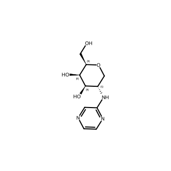 OC[C@H]1OC[C@H](Nc2cnccn2)[C@@H](O)[C@H]1O